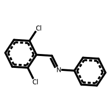 Clc1cccc(Cl)c1C=Nc1ccccc1